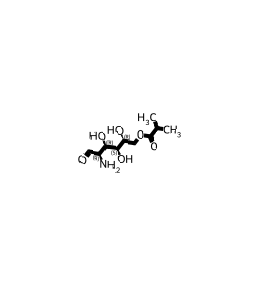 CC(C)C(=O)OC[C@@H](O)[C@@H](O)[C@H](O)[C@@H](N)C=O